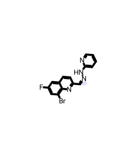 Fc1cc(Br)c2nc(/C=N\Nc3ccccn3)ccc2c1